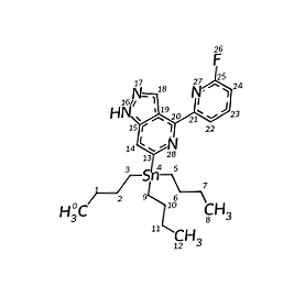 CCC[CH2][Sn]([CH2]CCC)([CH2]CCC)[c]1cc2[nH]ncc2c(-c2cccc(F)n2)n1